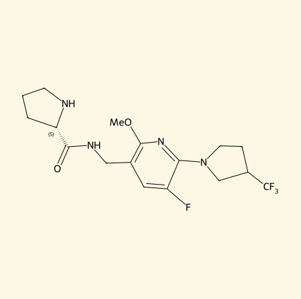 COc1nc(N2CCC(C(F)(F)F)C2)c(F)cc1CNC(=O)[C@@H]1CCCN1